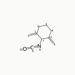 C=C1CCCC(=C)C1N=C=O